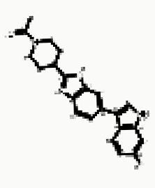 CC(=O)N1CCC(c2nc3ccc(-c4c[nH]c5cc(F)ccc45)cc3o2)CC1